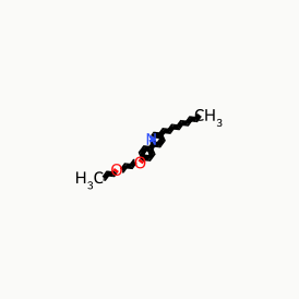 CCCCCCCCCc1ccc(-c2ccc(OCCCCOCCCC)cc2)nc1